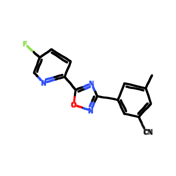 Cc1cc(C#N)cc(-c2noc(-c3ccc(F)cn3)n2)c1